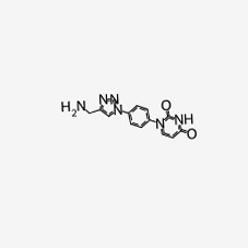 NCc1cn(-c2ccc(-n3ccc(=O)[nH]c3=O)cc2)nn1